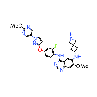 COc1ncc(-n2ccc(Oc3ccc(Nc4ncnc5cc(OC)c(NC6CC7(CNC7)C6)cc45)c(F)c3)n2)cn1